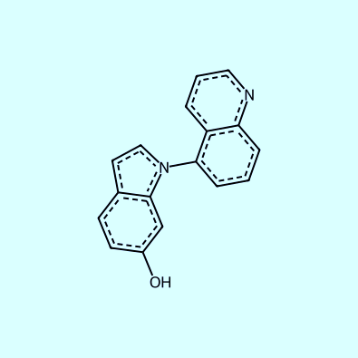 Oc1ccc2ccn(-c3cccc4ncccc34)c2c1